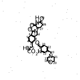 O=C(O)NCc1ccc2c(c1OCc1ccc(CN3CCOCC3)cc1)CN(C1CCC(=O)NC1=O)C2=O